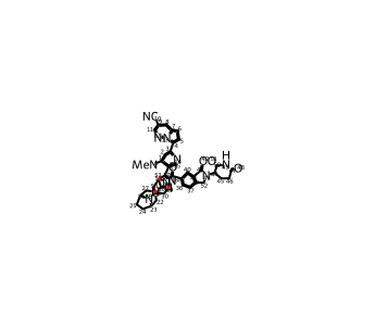 CNc1cc(-c2ccc3cc(C#N)cnn23)ncc1C1=NN=C(N2CC3CCC(C2)N3C2CCN(C(=O)c3ccc4c(c3)C(=O)N(C3CCC(=O)NC3=O)C4)CC2)C1